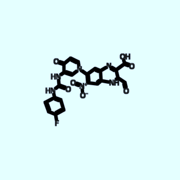 O=CC1Nc2cc([N+](=O)[O-])c(-n3ccc(=O)c(NC(=O)Nc4ccc(F)cc4)c3)cc2N=C1C(=O)O